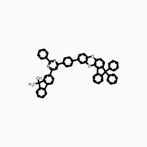 CC1(C)c2ccccc2-c2ccc(-c3cc(-c4ccc(-c5ccc6c(c5)Oc5c(ccc7c5-c5ccccc5C7(c5ccccc5)c5ccccc5)O6)cc4)nc(-c4ccccc4)n3)cc21